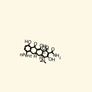 CCCCCc1ccc(O)c2c1C[C@H]1C[C@H]3[C@@H](N(C)C)C(O)=C(C(N)=O)C(=O)[C@@]3(O)C(O)=C1C2=O